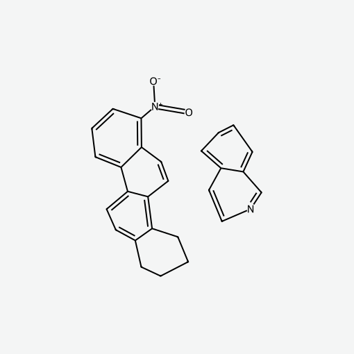 O=[N+]([O-])c1cccc2c1ccc1c3c(ccc12)CCCC3.c1ccc2cnccc2c1